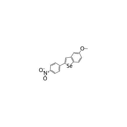 COc1ccc2[se]c(-c3ccc([N+](=O)[O-])cc3)cc2c1